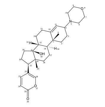 C[C@]12CCC(N3CCOCC3)C=C1CC[C@@H]1[C@@H]2CC[C@]2(C)[C@@H](c3ccc(=O)oc3)CC[C@]12O